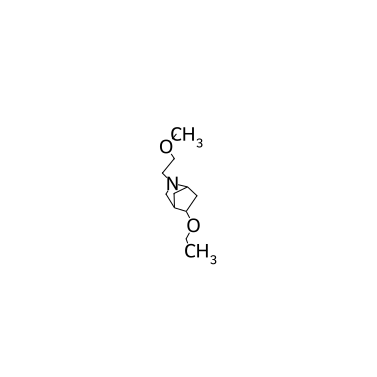 CCOC1CC2CC1CN2CCOC